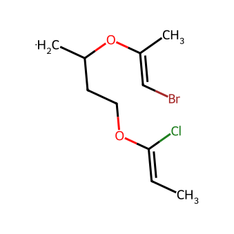 [CH2]C(CCOC(Cl)=CC)OC(C)=CBr